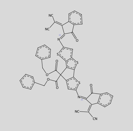 N#CC(C#N)=C1/C(=N/c2cc3c(s2)-c2sc4cc(/N=C5\C(=O)c6ccccc6C5=C(C#N)C#N)sc4c2C3(C(=O)OCc2ccccc2)C(=O)OCc2ccccc2)C(=O)c2ccccc21